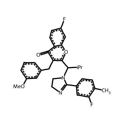 COc1cccc(Cc2c(C(C(C)C)N3CCN=C3c3ccc(C)c(F)c3)oc3cc(F)ccc3c2=O)c1